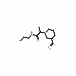 CCCNC(=O)C(C)N1CCCC(C=O)C1